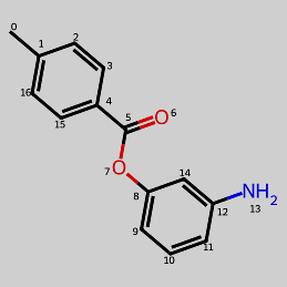 Cc1ccc(C(=O)Oc2cccc(N)c2)cc1